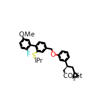 CCOC(=O)C[C@H](CC1CC1)c1cccc(OCc2ccc(-c3cc(OC)ccc3F)c(SC(C)C)c2)c1